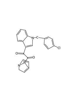 O=C(C(=O)N1C2=CCN1C=C2)c1cn(Cc2ccc(Cl)cc2)c2ccccc12